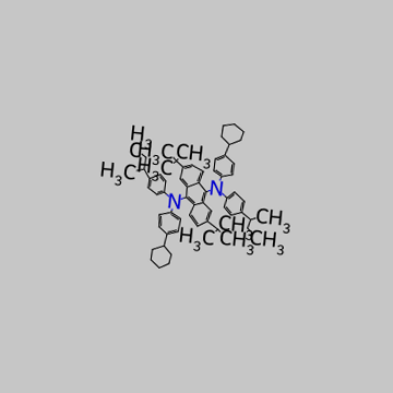 CCC(C)c1ccc(N(c2ccc(C3CCCCC3)cc2)c2c3ccc(C(C)(C)C)cc3c(N(c3ccc(C(C)CC)cc3)c3ccc(C4CCCCC4)cc3)c3ccc(C(C)(C)C)cc23)cc1